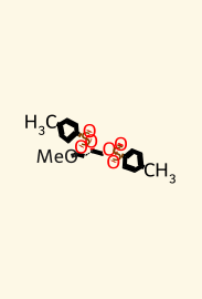 COCC[C@@H](COS(=O)(=O)c1ccc(C)cc1)OS(=O)(=O)c1ccc(C)cc1